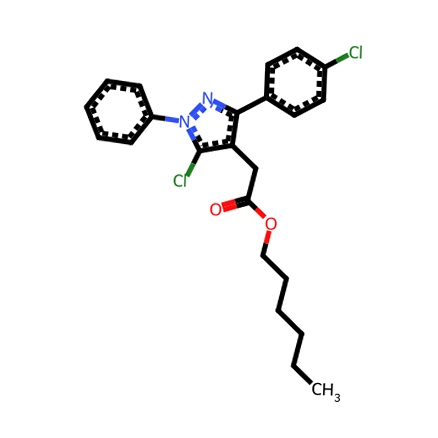 CCCCCCOC(=O)Cc1c(-c2ccc(Cl)cc2)nn(-c2ccccc2)c1Cl